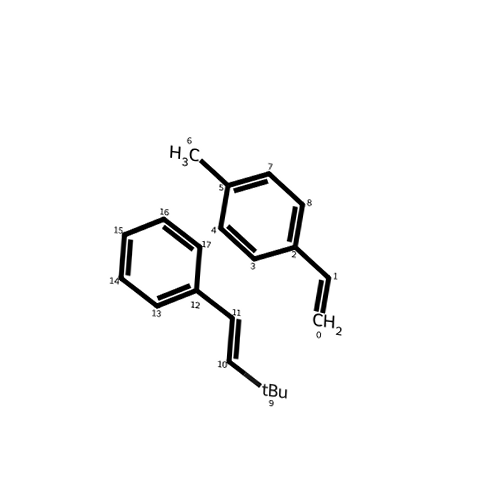 C=Cc1ccc(C)cc1.CC(C)(C)C=Cc1ccccc1